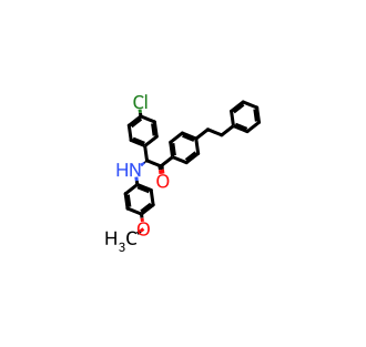 COc1ccc(N[C@H](C(=O)c2ccc(CCc3ccccc3)cc2)c2ccc(Cl)cc2)cc1